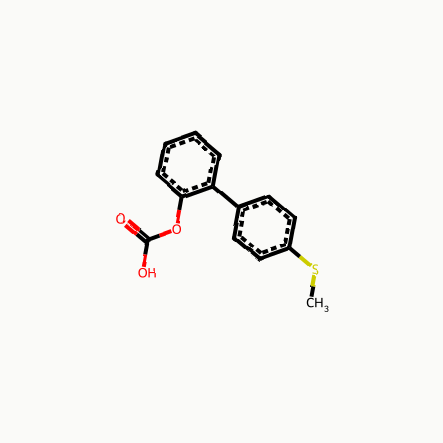 CSc1ccc(-c2ccccc2OC(=O)O)cc1